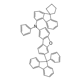 c1ccc(N(c2ccc3oc4cc(C5(c6ccccc6)c6ccccc6-c6ccccc65)ccc4c3c2)c2cccc3c2-c2ccccc2C32CCCC2)cc1